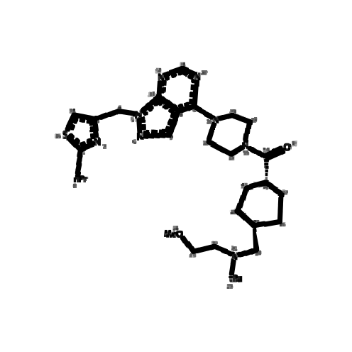 CCCc1nc(Cn2ncc3c(N4CCN(C(=O)[C@H]5CC[C@H](CN(CCOC)C(C)(C)C)CC5)CC4)ncnc32)cs1